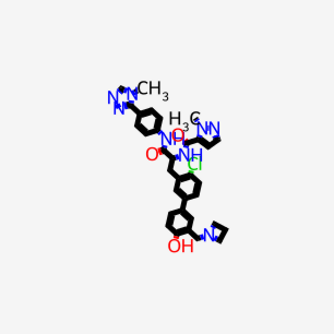 Cn1cnnc1-c1ccc(NC(=O)C(Cc2cc(-c3ccc(O)c(CN4CCC4)c3)ccc2Cl)NC(=O)c2ccnn2C)cc1